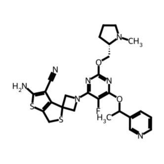 CC(Oc1nc(OC[C@@H]2CCCN2C)nc(N2CC3(C2)SCc2sc(N)c(C#N)c23)c1F)c1cccnc1